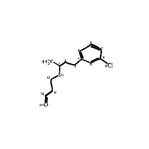 [CH2]C(CCc1cccc(Cl)c1)SCCC=O